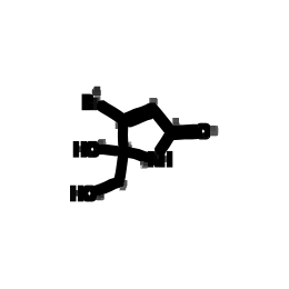 O=C1C=C(Br)C(O)(CO)N1